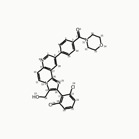 O=C(c1ccc(-c2cnc3ccn4c(CO)c(-c5c(Cl)cccc5Cl)nc4c3c2)cc1)N1CCOCC1